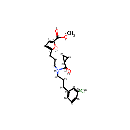 COC(=O)c1ccc(CCCN(CCCc2cccc(Cl)c2)C(=O)C2CC2)o1